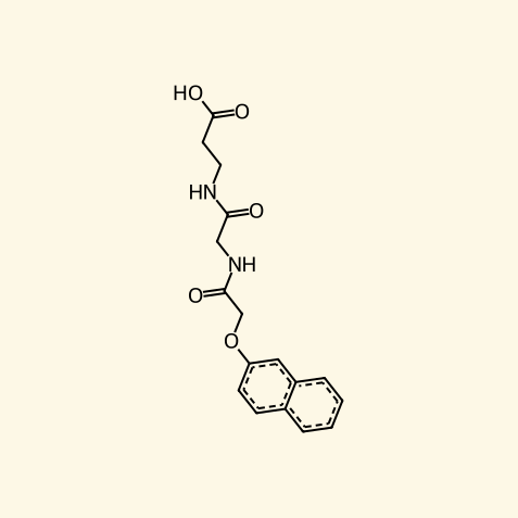 O=C(O)CCNC(=O)CNC(=O)COc1ccc2ccccc2c1